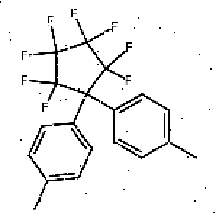 Cc1ccc(C2(c3ccc(C)cc3)C(F)(F)C(F)(F)C(F)(F)C2(F)F)cc1